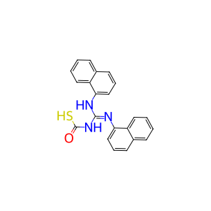 O=C(S)N/C(=N\c1cccc2ccccc12)Nc1cccc2ccccc12